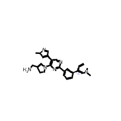 C=C/C(=C\N(C)C)c1cccc(-c2ncc(C3=CC(C)N=C3)c(N3CCC(CN)C3)n2)c1